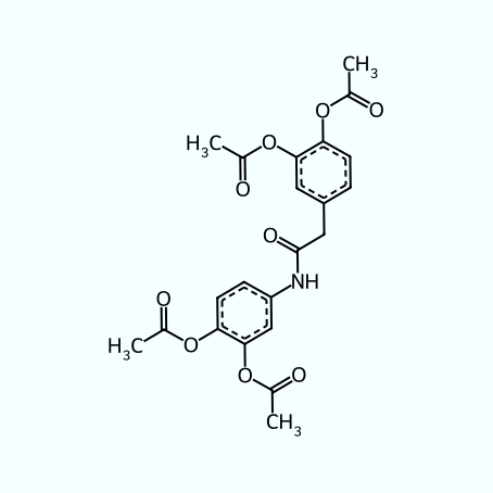 CC(=O)Oc1ccc(CC(=O)Nc2ccc(OC(C)=O)c(OC(C)=O)c2)cc1OC(C)=O